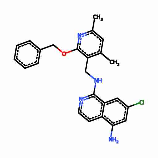 Cc1cc(C)c(CNc2nccc3c(N)cc(Cl)cc23)c(OCc2ccccc2)n1